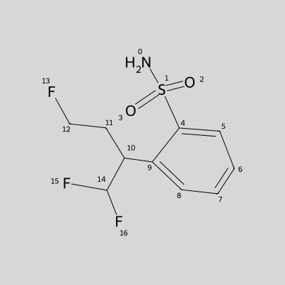 NS(=O)(=O)c1ccccc1C(CCF)C(F)F